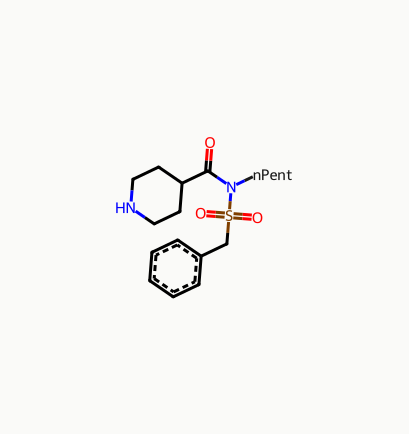 CCCCCN(C(=O)C1CCNCC1)S(=O)(=O)Cc1ccccc1